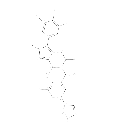 CCC1Cc2c(nn(C)c2-c2cc(F)c(F)c(F)c2)C(CC)N1C(=O)c1cc(C)cc(-n2cnnc2)c1